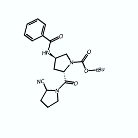 CC(C)(C)OC(=O)N1C[C@H](NC(=O)c2ccccc2)C[C@H]1C(=O)N1CCCC1C#N